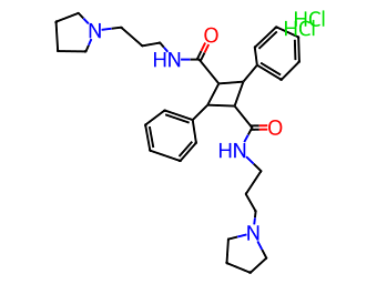 Cl.Cl.O=C(NCCCN1CCCC1)C1C(c2ccccc2)C(C(=O)NCCCN2CCCC2)C1c1ccccc1